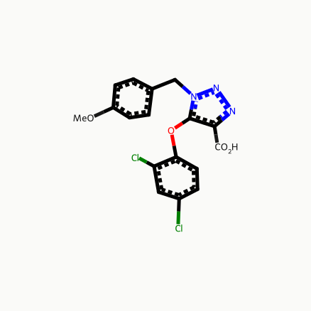 COc1ccc(Cn2nnc(C(=O)O)c2Oc2ccc(Cl)cc2Cl)cc1